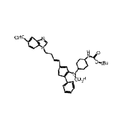 CC(C)(C)OC(=O)NC1CCC(N(C(=O)O)c2cc(C=CCCn3cnc4cc(C=O)ccc43)ccc2-c2ccccc2)CC1